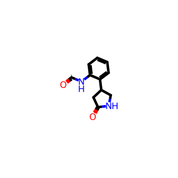 O=[C]Nc1ccccc1C1CNC(=O)C1